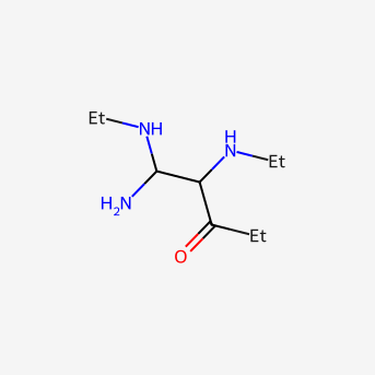 CCNC(N)C(NCC)C(=O)CC